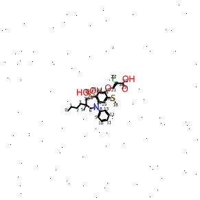 CCCC[C@@]1(C)CN(c2ccccc2)c2cc(SC)c(O/C=C(\F)C(=O)O)cc2S(O)(O)C1